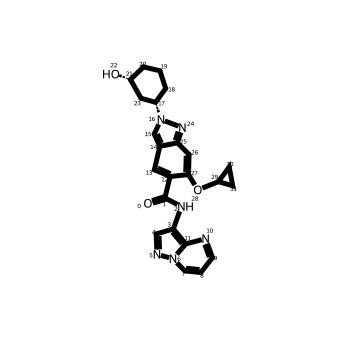 O=C(Nc1cnn2cccnc12)c1cc2cn([C@H]3CCC[C@@H](O)C3)nc2cc1OC1CC1